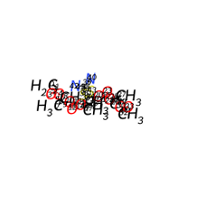 C=CC(=O)OCC(C)(C)COC(=O)COc1c(C)cc(OCC(=O)OCC(C)(C)COC(C)=O)c2c1SC(=C(C#N)C#N)S2